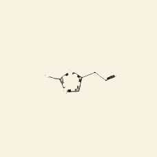 Nc1ncc(C[C]=O)[nH]1